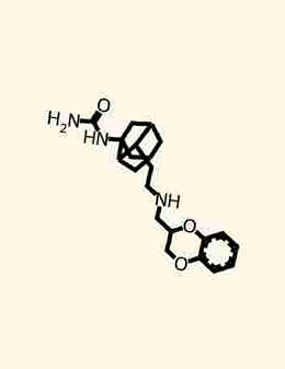 NC(=O)NC12CC3CC(C1)C(CCNCC1COc4ccccc4O1)C2C3